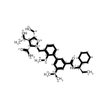 CC[C@@H](NC(=O)c1cc(-c2cccc(CN3O[C@@H](CO)[C@H]([C@H](C)O)[C@H]3C(N)=O)c2OC)cc(N(C)C)c1)C1CCCCC1